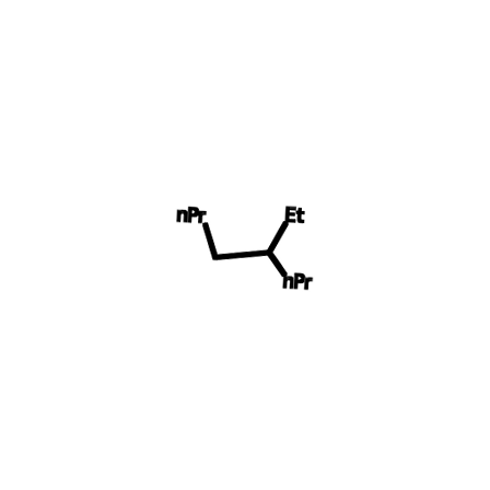 [CH2]CCC(CC)CCCC